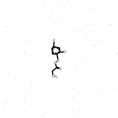 CCC(=O)OOc1ccc(F)cc1Cl